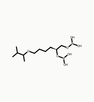 CC(C)C(C)OCCCC[C@@H](CON(O)O)ON(O)O